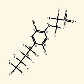 O=S(=O)(F)C(F)(F)C(F)(F)Sc1cc(F)c(C(F)(F)C(F)(F)C(F)(F)C(F)(F)F)cc1F